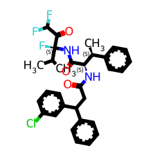 CC(C)[C@@](F)(NC(=O)[C@@H](NC(=O)CC(c1ccccc1)c1cccc(Cl)c1)[C@@H](C)c1ccccc1)C(=O)C(F)F